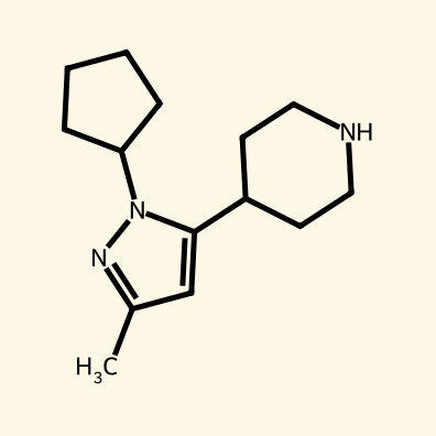 Cc1cc(C2CCNCC2)n(C2CCCC2)n1